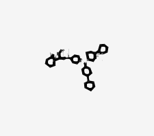 c1ccc(-c2ccc(N(c3ccc(-c4cc5c(cn4)oc4ccccc45)cc3)c3ccc4c(c3)sc3ccccc34)cc2)cc1